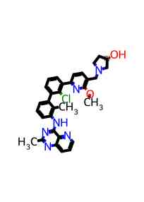 COc1nc(-c2cccc(-c3cccc(Nc4nc(C)nc5cccnc45)c3C)c2Cl)ccc1CN1CC[C@@H](O)C1